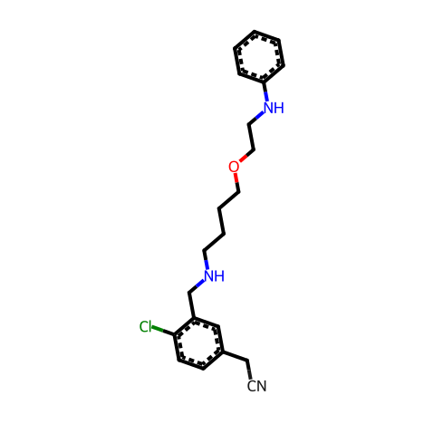 N#CCc1ccc(Cl)c(CNCCCCOCCNc2ccccc2)c1